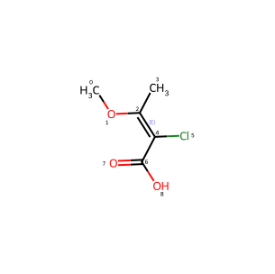 CO/C(C)=C(/Cl)C(=O)O